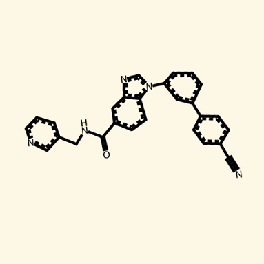 N#Cc1ccc(-c2cccc(-n3cnc4cc(C(=O)NCc5cccnc5)ccc43)c2)cc1